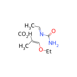 CC=NC(N)=O.CCOC=C(C)C(=O)O